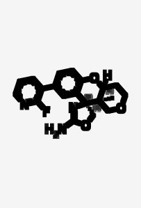 C[C@@]12COCC[C@H]1Oc1ccc(-c3cccnc3F)cc1[C@@]21COC(N)=N1